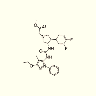 CCOc1nn(-c2ccccc2)c(NC(=O)N[C@@H]2CN(CC(=O)OC)C[C@H]2C2C=C(F)C(F)=CC2)c1C